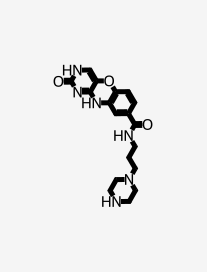 O=C(NCCCN1CCNCC1)c1ccc2c(c1)Nc1nc(=O)[nH]cc1O2